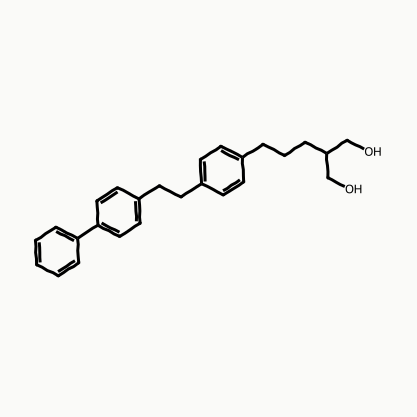 OCC(CO)CCCc1ccc(CCc2ccc(-c3ccccc3)cc2)cc1